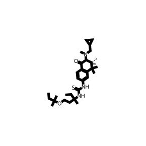 CCC(C)(CCOC(C)(C)CC)NC(=S)Nc1ccc2c(c1)C(C)(C)[C@@H](C)C(N(C)CC1CC1)C2=O